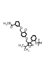 COC(=O)c1cccc(OCc2ccc(OCc3c(-c4ccccc4OC(F)(F)F)noc3C(C)C)cc2Cl)c1